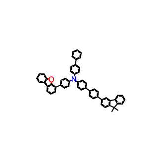 CC1(C)c2ccccc2-c2cc(-c3ccc(-c4ccc(N(c5ccc(-c6ccccc6)cc5)c5ccc(-c6cccc7c6oc6ccccc67)cc5)cc4)cc3)ccc21